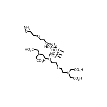 CC(=O)O.CC(=O)O.CC(=O)O.CC(=O)O.NOCCOCCON.O=C(O)CN(CCOCCOCCN(CC(=O)O)CC(=O)O)CC(=O)O